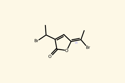 C/C(Br)=C1\C=C(C(C)Br)C(=O)O1